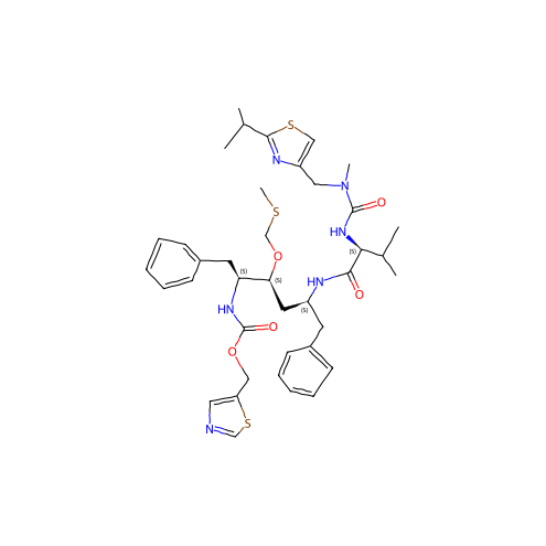 CSCO[C@@H](C[C@H](Cc1ccccc1)NC(=O)[C@@H](NC(=O)N(C)Cc1csc(C(C)C)n1)C(C)C)[C@H](Cc1ccccc1)NC(=O)OCc1cncs1